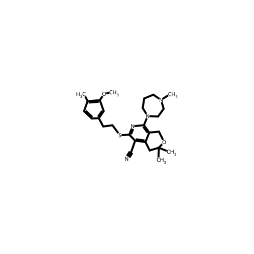 COc1cc(CCSc2nc(N3CCCN(C)CC3)c3c(c2C#N)CC(C)(C)OC3)ccc1C